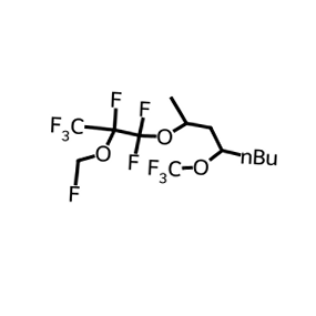 CCCCC(CC(C)OC(F)(F)C(F)(OCF)C(F)(F)F)OC(F)(F)F